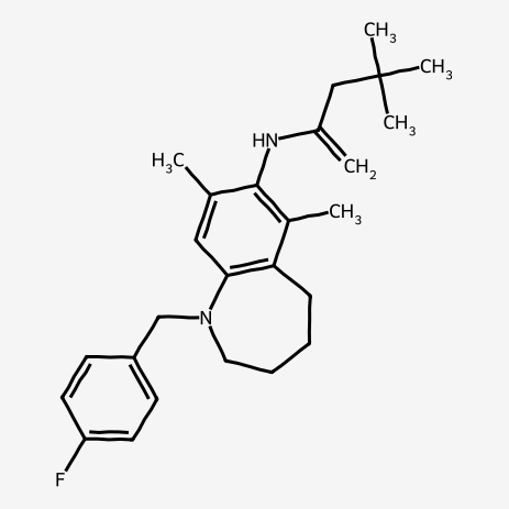 C=C(CC(C)(C)C)Nc1c(C)cc2c(c1C)CCCCN2Cc1ccc(F)cc1